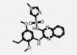 CCc1cc(OC)cc(Nc2nc3ccccc3nc2NS(=O)(=O)c2cn(C)cn2)c1OC